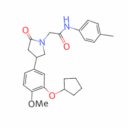 COc1ccc(C2CC(=O)N(CC(=O)Nc3ccc(C)cc3)C2)cc1OC1CCCC1